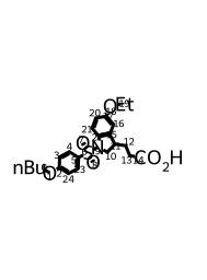 CCCCOc1ccc(S(=O)(=O)N2CC(CCC(=O)O)c3cc(OCC)ccc32)cc1